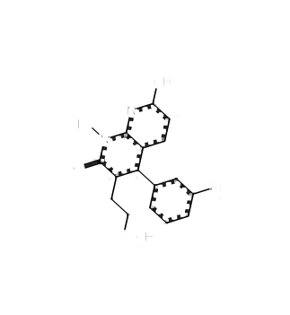 CCn1c(=O)c(CCC(=O)O)c(-c2cccc(Br)c2)c2ccc(C)nc21